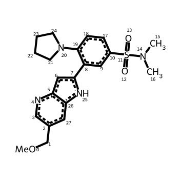 COCc1cnc2cc(-c3cc(S(=O)(=O)N(C)C)ccc3N3CCCC3)[nH]c2c1